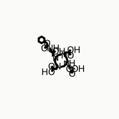 O=C(O)CN1CCN(CO[PH](=O)O)CCN(CC(=O)O)CCN(CC(O)CNC(=O)OC2CCCCC2)CC1